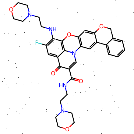 O=C(NCCN1CCOCC1)c1cn2c3c(c(NCCN4CCOCC4)c(F)cc3c1=O)Oc1cc3c(cc1-2)-c1ccccc1CO3